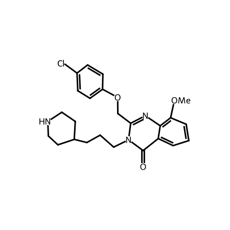 COc1cccc2c(=O)n(CCCC3CCNCC3)c(COc3ccc(Cl)cc3)nc12